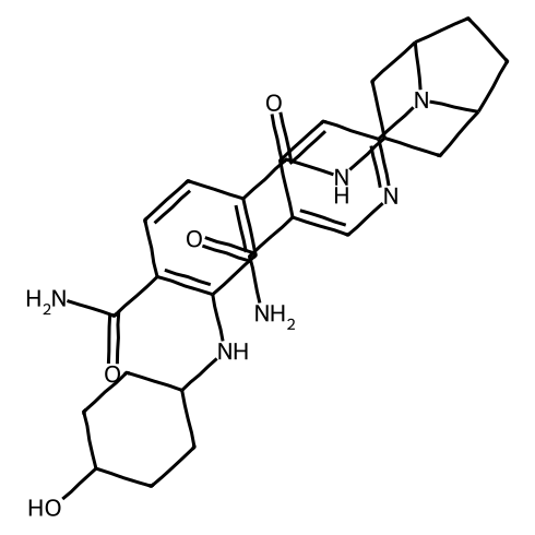 NC(=O)c1ccc(N2C3CCC2CC(NC(=O)c2ccc(C(N)=O)c(NC4CCC(O)CC4)c2)C3)nc1